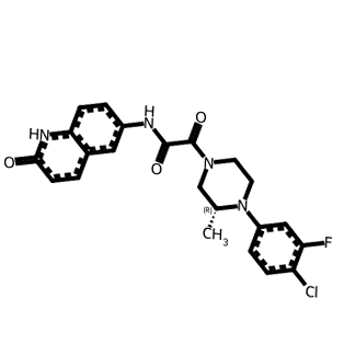 C[C@@H]1CN(C(=O)C(=O)Nc2ccc3[nH]c(=O)ccc3c2)CCN1c1ccc(Cl)c(F)c1